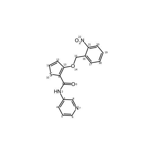 O=C(Nc1cccnc1)c1sccc1OCc1ccccc1[N+](=O)[O-]